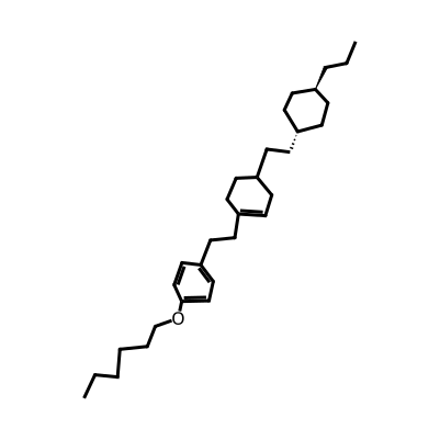 CCCCCCOc1ccc(CCC2=CCC(CC[C@H]3CC[C@H](CCC)CC3)CC2)cc1